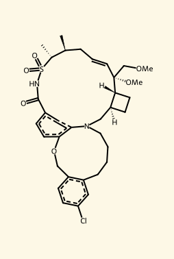 COC[C@]1(OC)/C=C/C[C@H](C)[C@@H](C)S(=O)(=O)NC(=O)c2ccc3c(c2)N(CCCCc2cc(Cl)ccc2CO3)C[C@@H]2CC[C@H]21